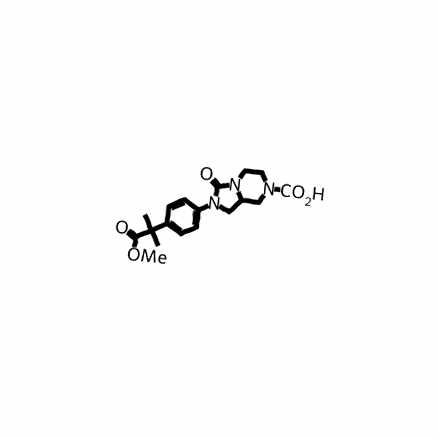 COC(=O)C(C)(C)c1ccc(N2CC3CN(C(=O)O)CCN3C2=O)cc1